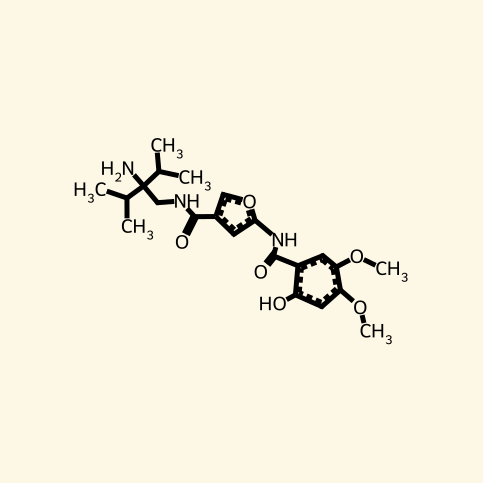 COc1cc(O)c(C(=O)Nc2cc(C(=O)NCC(N)(C(C)C)C(C)C)co2)cc1OC